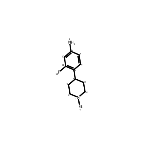 CCN1CCC(c2ccc(N)cc2F)CC1